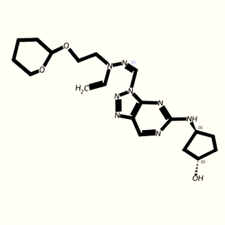 C=CN(CCOC1CCCCO1)/N=C\n1nnc2cnc(N[C@H]3CC[C@H](O)C3)nc21